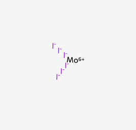 [I-].[I-].[I-].[I-].[I-].[I-].[Mo+6]